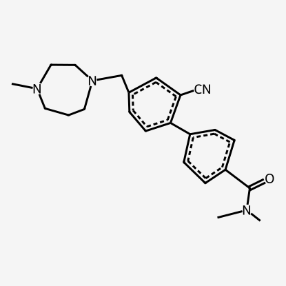 CN1CCCN(Cc2ccc(-c3ccc(C(=O)N(C)C)cc3)c(C#N)c2)CC1